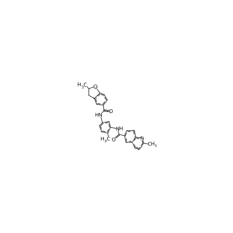 Cc1ccc2cc(C(=O)Nc3cc(NC(=O)c4ccc5c(c4)CC(C)O5)ccc3C)ccc2n1